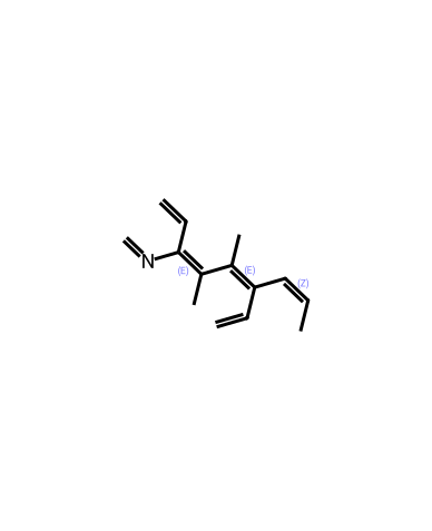 C=CC(/C=C\C)=C(C)\C(C)=C(/C=C)N=C